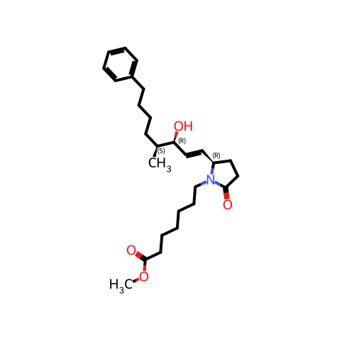 COC(=O)CCCCCCN1C(=O)CC[C@@H]1C=C[C@H](O)[C@@H](C)CCCCc1ccccc1